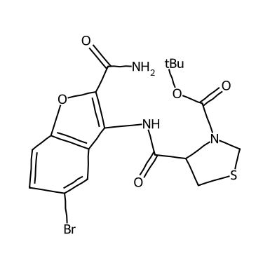 CC(C)(C)OC(=O)N1CSCC1C(=O)Nc1c(C(N)=O)oc2ccc(Br)cc12